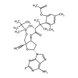 C#C[C@]1(CO[Si](C)(C)C(C)(C)C)O[C@@H](n2cnc3c(N)nc(F)nc32)C[C@@H]1OC(=O)CC(C)(C)c1c(C)cc(C)cc1OC(C)=O